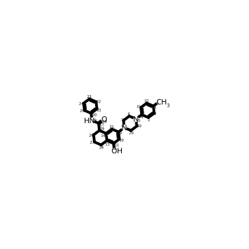 Cc1ccc(N2CCN(c3cc(O)c4c(c3)C(C(=O)Nc3ccccc3)CCC4)CC2)cc1